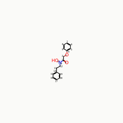 O=C(COc1ccccc1)N(O)CCc1ccccc1